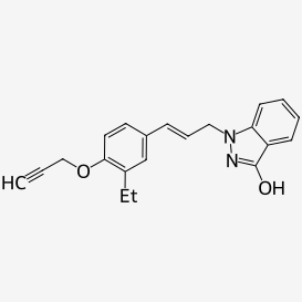 C#CCOc1ccc(/C=C/Cn2nc(O)c3ccccc32)cc1CC